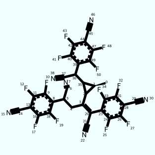 C[C@H]1C(/C(CC(C#N)c2c(F)c(F)c(C#N)c(F)c2F)=C(/C#N)c2c(F)c(F)c(C#N)c(F)c2F)C1C(C#N)c1c(F)c(F)c(C#N)c(F)c1F